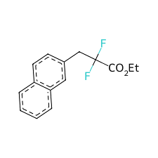 CCOC(=O)C(F)(F)Cc1ccc2ccccc2c1